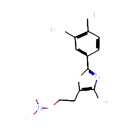 Cc1ccc(-c2nc(C)c(CCON(O)O)s2)cc1C